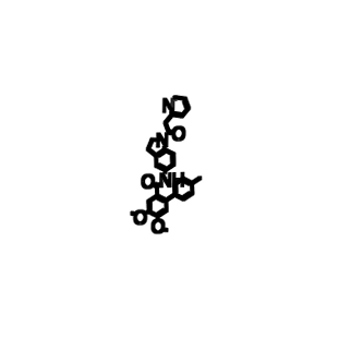 COc1cc(C(=O)Nc2ccc3c(c2)CCN3C(=O)Cc2ccccn2)c(-c2ccc(C)cc2)cc1OC